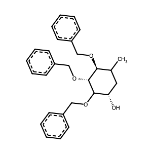 CC1C[C@H](O)C(OCc2ccccc2)[C@H](OCc2ccccc2)[C@H]1OCc1ccccc1